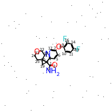 NC(=O)C1(c2ccc(Oc3ccc(F)cc3F)cn2)CC12CCOCC2